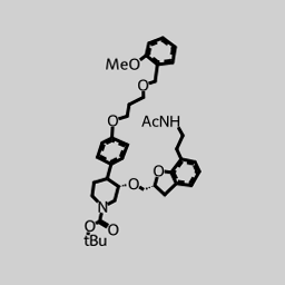 COc1ccccc1COCCCOc1ccc(C2CCN(C(=O)OC(C)(C)C)C[C@H]2OC[C@H]2Cc3cccc(CCNC(C)=O)c3O2)cc1